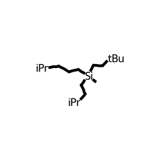 CC(C)CCC[Si](C)(CCC(C)C)CCC(C)(C)C